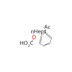 CC(=O)c1ccccc1.CCCCCCCOC(=O)O